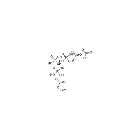 O=P(O)(O)O.O=P(O)(O)O.O=P(O)(O)O.[La+3].[O]=[V](=[O])[O-].[O]=[V](=[O])[O-].[O]=[V](=[O])[O-]